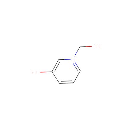 OC[n+]1cccc(O)c1